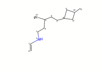 C=CNCCC(CCC1CC(C)C1)C(C)C